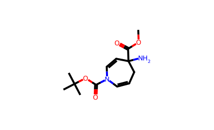 COC(=O)C1(N)C=CN(C(=O)OC(C)(C)C)C=CC1